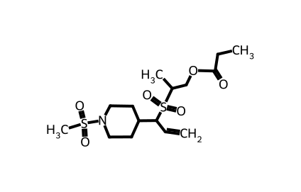 C=CC(C1CCN(S(C)(=O)=O)CC1)S(=O)(=O)C(C)COC(=O)CC